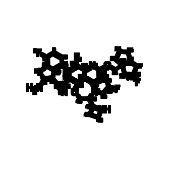 N#Cc1c(N)sc2c(F)ccc(-c3c(Cl)c4c5c(nc(OC[C@@]67CCCN6C[C@H](F)C7)nc5c3F)N(CC(F)F)C(C3CCN3)CO4)c12